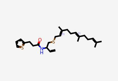 C=CC(CSC/C=C(\C)CC/C=C(\C)CCC=C(C)C)NC(=O)CCc1cccs1